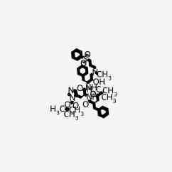 CN(CCCS(=O)(=O)c1ccccc1)C[C@H](O)[C@H](CC1CCCCC1)NC(=O)[C@H](Cc1cncn1C(=O)OC(C)(C)C)NC(=O)[C@@H](CC(=O)C(C)(C)C)Cc1ccccc1